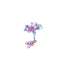 CCN1CC[C@H]2CC[C@@H](C(=O)N[C@@H](CCC(N)=O)C(=O)N[C@@H](Cc3ccc(F)c(F)c3)C(=O)N3CCC(CCC#Cc4cccc5c4CN(C4CCC(=O)NC4=O)C5=O)CC3)N2C(=O)[C@@H](N)C1